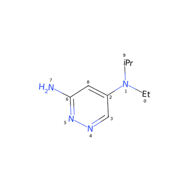 CCN(c1cnnc(N)c1)C(C)C